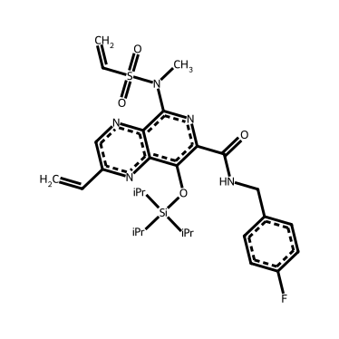 C=Cc1cnc2c(N(C)S(=O)(=O)C=C)nc(C(=O)NCc3ccc(F)cc3)c(O[Si](C(C)C)(C(C)C)C(C)C)c2n1